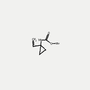 C=CC1(NC(=O)OC(C)(C)C)CC1